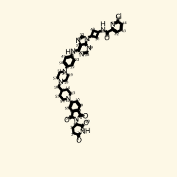 O=C1CC[C@H](N2C(=O)c3ccc(N4CCC(CN5CCN(c6ccc(Nc7ncnc8c7ncn8C7CC(NC(=O)c8cccc(Cl)n8)C7)cc6)CC5)CC4)cc3C2=O)C(=O)N1